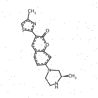 Cc1csc(-c2cc3ccc(N4CCN[C@H](C)C4)cc3oc2=O)n1